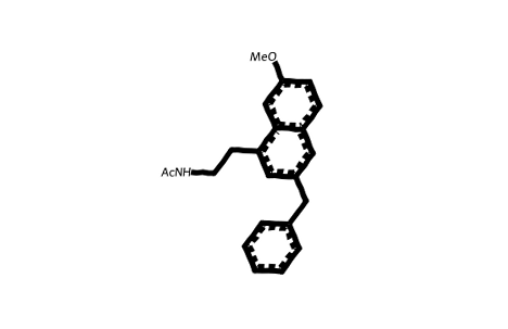 COc1ccc2cc(Cc3ccccc3)cc(CCNC(C)=O)c2c1